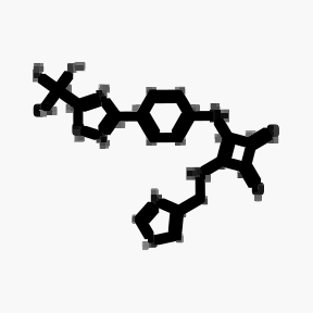 O=c1c(NCc2cscn2)c(Nc2ccc(-c3noc(C(F)(F)Cl)n3)cc2)c1=O